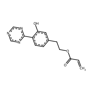 C=CC(=O)OCCc1ccc(-c2ncncn2)c(O)c1